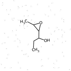 CCC(O)C1OC1C